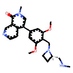 CNC[C@@H]1CCN1Cc1c(OC)cc(-c2cn(C)c(=O)c3cnccc23)cc1OC